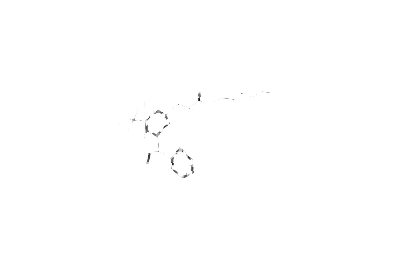 [CH2]CCCCCOC(=O)CCc1cc2c(c(C(C)(C)C)c1)OC(=O)C2c1ccccc1